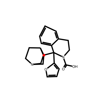 O=C(O)N1CCc2ccccc2C1(c1ccco1)C1CN2CCC1CC2